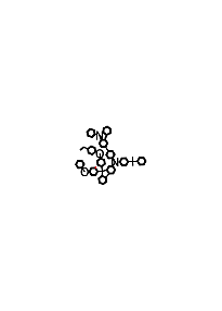 C=Cc1ccc(Oc2ccc(C3(c4ccc(Oc5ccccc5)cc4)c4ccccc4-c4ccc(N(c5ccc(-c6ccc7c(c6)c6ccccc6n7-c6ccccc6)cc5)c5ccc(C(C)(C)c6ccccc6)cc5)cc43)cc2)cc1